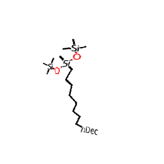 CCCCCCCCCCCCCCCCCC[Si](C)(O[Si](C)(C)C)O[Si](C)(C)C